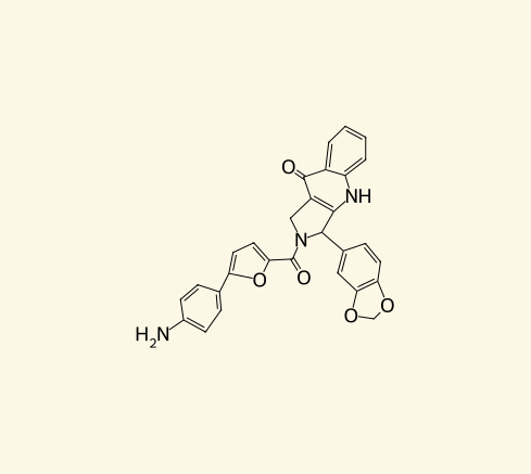 Nc1ccc(-c2ccc(C(=O)N3Cc4c([nH]c5ccccc5c4=O)C3c3ccc4c(c3)OCO4)o2)cc1